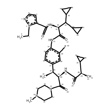 CCn1nccc1C(=O)N[C@H](C(=O)Nc1ccc([C@H](C)[C@@H](NC(=O)[C@H](C)C2CC2)C(=O)N2CCN(C)CC2)cc1F)C(C1CC1)C1CC1